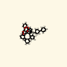 c1ccc(-c2ccc(N(c3ccc(-c4ccccc4)cc3)c3cccc4c3-c3ccccc3C3(c5ccccc5-c5ccccc5-4)c4ccccc4-c4ccccc43)cc2)cc1